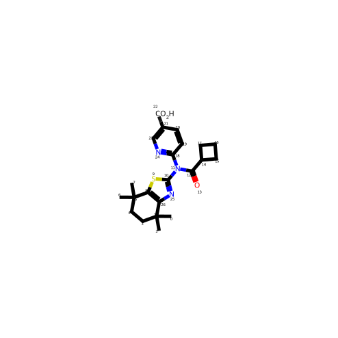 CC1(C)CCC(C)(C)c2sc(N(C(=O)C3CCC3)c3ccc(C(=O)O)cn3)nc21